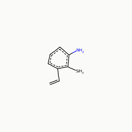 C=Cc1cccc(N)c1[SiH3]